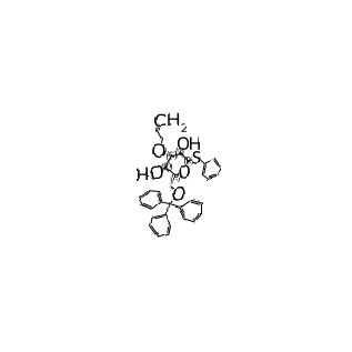 C=CCO[C@@H]1[C@H](O)[C@@H](Sc2ccccc2)O[C@H](COC(c2ccccc2)(c2ccccc2)c2ccccc2)[C@H]1O